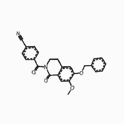 COc1cc2c(cc1OCc1ccccc1)CCN(C(=O)c1ccc(C#N)cc1)C2=O